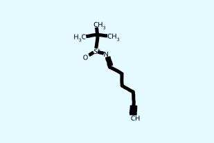 C#CCCCC=N[S+]([O-])C(C)(C)C